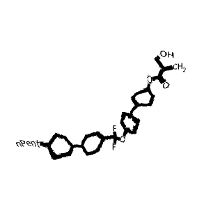 C=C(CO)C(=O)OC1CCC(c2ccc(OC(F)(F)C3CCC(C4CCC(CCCCC)CC4)CC3)cc2)CC1